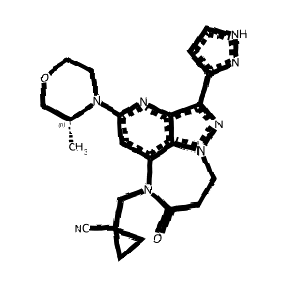 C[C@@H]1COCCN1c1cc2c3c(n1)c(-c1cc[nH]n1)nn3CCC(=O)N2CC1(C#N)CC1